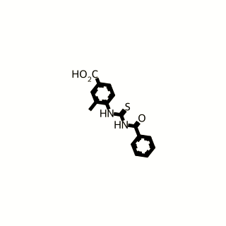 Cc1cc(C(=O)O)ccc1NC(=S)NC(=O)c1ccccc1